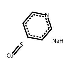 [NaH].[S]=[Cu].c1ccncc1